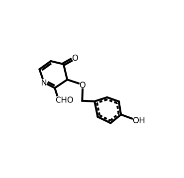 O=CC1=NC=CC(=O)C1OCc1ccc(O)cc1